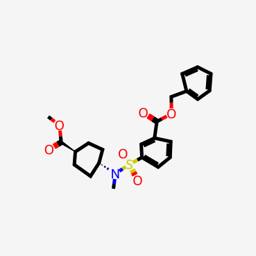 COC(=O)[C@H]1CC[C@H](N(C)S(=O)(=O)c2cccc(C(=O)OCc3ccccc3)c2)CC1